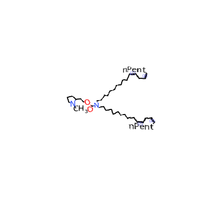 CCCCC/C=C\C/C=C\CCCCCCCCCCN(CCCCCCCCCC/C=C\C/C=C\CCCCC)C(=O)OCCC1CCCN1C